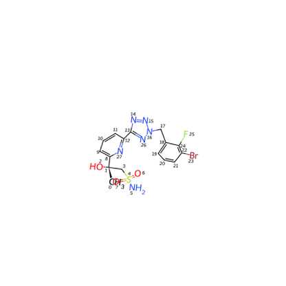 C[C@](O)(CS(N)(=O)=O)c1cccc(-c2nnn(Cc3cccc(Br)c3F)n2)n1